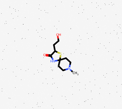 CN1CCC2(CC1)NC(=O)C(CCO)S2